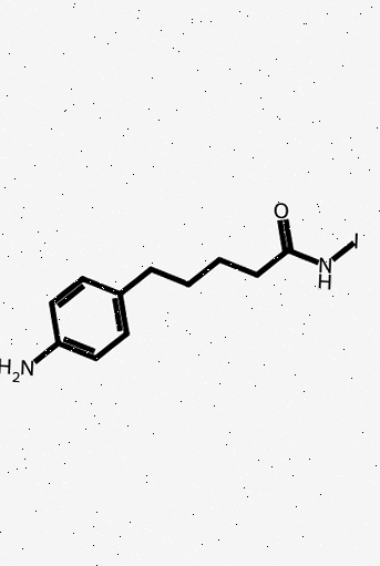 Nc1ccc(CCCCC(=O)NI)cc1